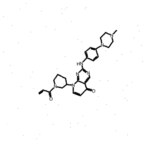 C=CC(=O)N1CCCC(n2ccc(=O)c3cnc(Nc4ccc(N5CCN(C)CC5)cc4)nc32)C1